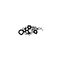 COc1cccc(OC)c1S(=O)(=O)Nc1cccc(C(c2c(O)c3c(oc2=O)CCCCCC3)C2CC2)c1